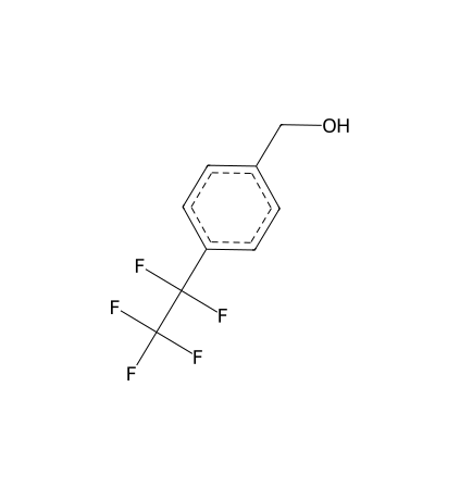 OCc1ccc(C(F)(F)C(F)(F)F)cc1